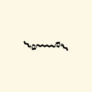 CCCCN1C=CN(CCCCCCCCn2cc[n+](CCCC)c2)C1